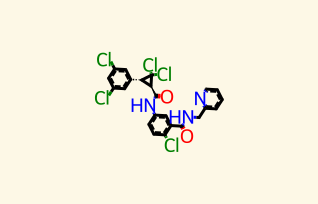 O=C(NCc1ccccn1)c1cc(NC(=O)[C@H]2[C@H](c3cc(Cl)cc(Cl)c3)C2(Cl)Cl)ccc1Cl